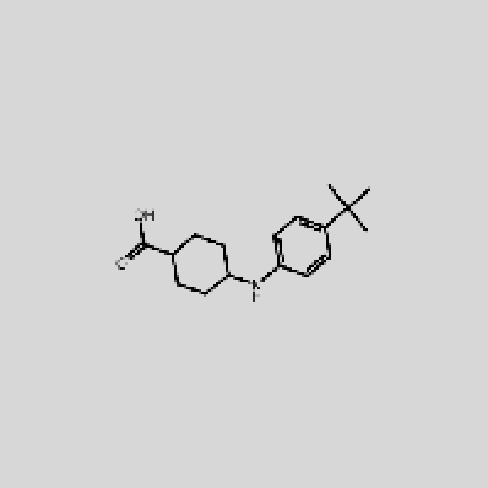 CC(C)(C)c1ccc(NC2CCC(C(=O)O)CC2)cc1